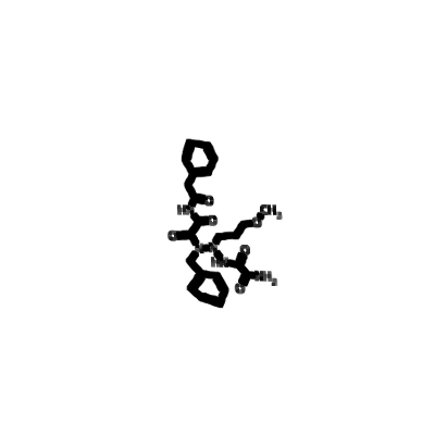 COCCCN(NC(=O)C(N)=O)N(Cc1ccccc1)C(=O)C(=O)NC(=O)Cc1ccccc1